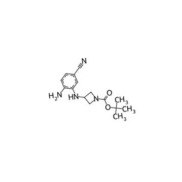 CC(C)(C)OC(=O)N1CC(Nc2cc(C#N)ccc2N)C1